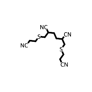 N#CCCSCC(C#N)CCC(C#N)CSCCC#N